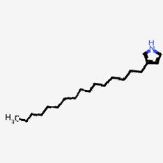 CCCCCCCCCCCCCCCCc1cc[nH]c1